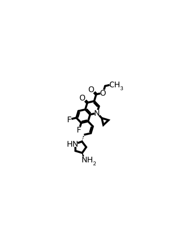 CCOC(=O)c1cn(C2CC2)c2c(/C=C\C[C@@H]3C[C@@H](N)CN3)c(F)c(F)cc2c1=O